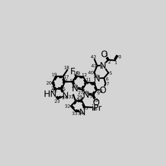 C=CC(=O)N1CC2COc3c(c4cc(F)c(-c5c(C)ccc6[nH]cnc56)nc4n(-c4c(C)ccnc4C(C)C)c3=O)N2CC1C